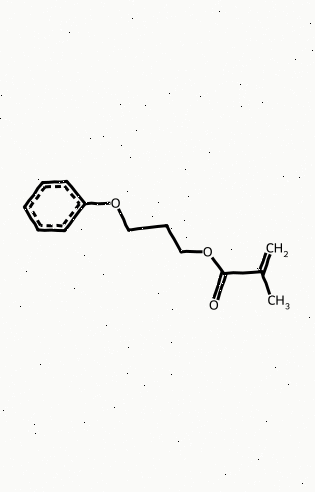 C=C(C)C(=O)OCCCOc1ccccc1